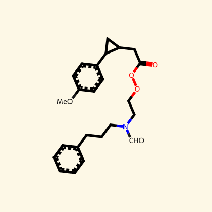 COc1ccc(C2CC2CC(=O)OOCCN(C=O)CCCc2ccccc2)cc1